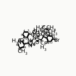 COc1cccc(OC)c1-n1c(NS(=O)(=O)C(C)C(O[Si](C)(C)C(C)(C)C)c2ccc(Br)cc2F)nnc1-c1cncc(C)c1